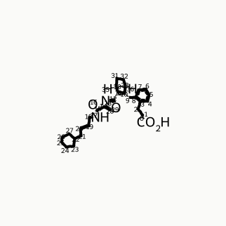 O=C(O)CCc1ccccc1C[C@@H]1[C@H](c2nc(C(=O)NC/C=C/CC3CCCCC3)co2)[C@H]2CC[C@@H]1O2